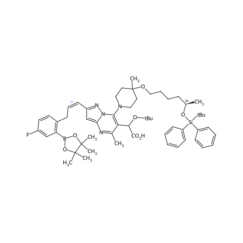 Cc1nc2cc(/C=C\Cc3ccc(F)cc3B3OC(C)(C)C(C)(C)O3)nn2c(N2CCC(C)(OCCCC[C@@H](C)O[Si](c3ccccc3)(c3ccccc3)C(C)(C)C)CC2)c1C(OC(C)(C)C)C(=O)O